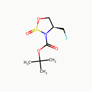 CC(C)(C)OC(=O)N1[C@H](CF)COS1=O